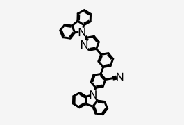 N#Cc1cc(-n2c3ccccc3c3ccccc32)ccc1-c1cccc(-c2ccc(-n3c4ccccc4c4ccccc43)nc2)c1